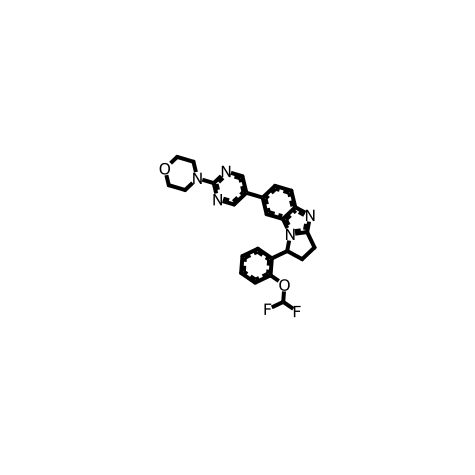 FC(F)Oc1ccccc1C1CCc2nc3ccc(-c4cnc(N5CCOCC5)nc4)cc3n21